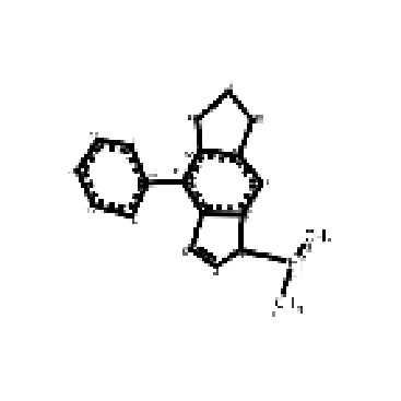 [CH3][Hf]([CH3])[CH]1C=Cc2c1cc1c(c2-c2ccccc2)CCC1